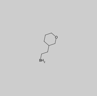 BCCC1CCCOC1